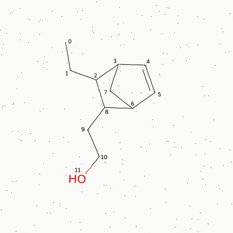 CCC1C2C=CC(C2)C1CCO